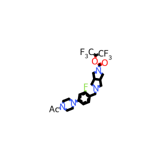 CC(=O)N1CCN(c2ccc(CN3CC4CN(C(=O)OC(C(F)(F)F)C(F)(F)F)CC4C3)c(F)c2)CC1